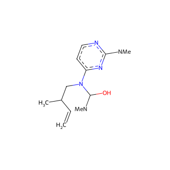 C=CC(C)CN(c1ccnc(NC)n1)C(O)NC